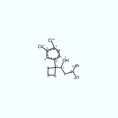 CCN(CC(O)C1(c2ccc(Cl)c(Cl)c2)CCC1)C(C)C